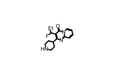 CCC(F)c1c(C2CCNCC2)nc2ccccn2c1=O